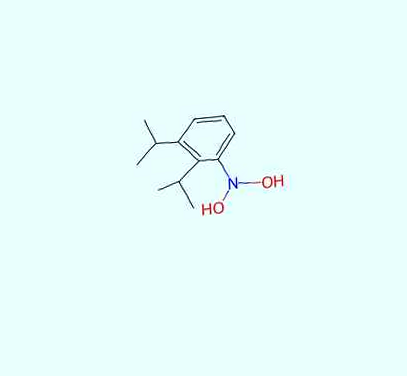 CC(C)c1cccc(N(O)O)c1C(C)C